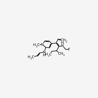 C=C/C(C1=CC(NC=CC)N(C)C=C1)=C(\NCF)C(C)CC